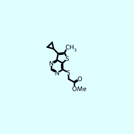 COC(=O)CSc1ncnc2c(C3CC3)c(C)sc12